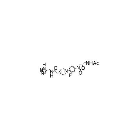 CC(=O)NC[C@H]1CN(c2ccc(N3CCN(CC(=O)NCc4cnn[nH]4)CC3)c(F)c2)C(=O)O1